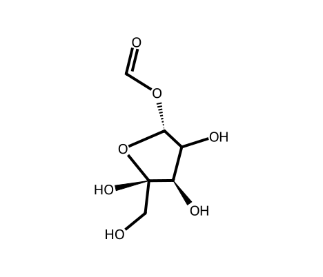 O=CO[C@H]1O[C@@](O)(CO)[C@H](O)C1O